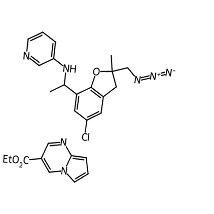 CC(Nc1cccnc1)c1cc(Cl)cc2c1OC(C)(CN=[N+]=[N-])C2.CCOC(=O)c1cnc2cccn2c1